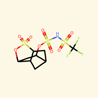 O=S(=O)(NS(=O)(=O)C(F)(F)F)OC1C2CC3C1OS(=O)(=O)C3C2